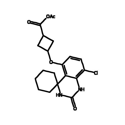 CC(=O)OC(=O)C1CC(Oc2ccc(Cl)c3c2C2(CCCCC2)NC(=O)N3)C1